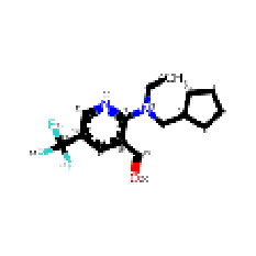 CCN(CC1CCCC1)c1ncc(C(F)(F)F)cc1C=O